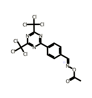 CC(=O)O/N=C/c1ccc(-c2nc(C(Cl)(Cl)Cl)nc(C(Cl)(Cl)Cl)n2)cc1